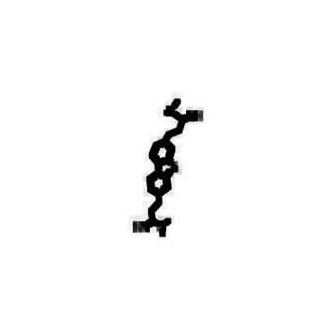 CN(C)C(=N)CCc1ccc2c(c1)sc1cc(CCC(=N)N(C)C)ccc12